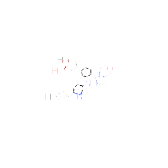 CCC(CC(=O)O)c1ccc(C(CC)N2CCOCC2)c(Nc2ccc(COC)nc2)c1